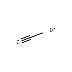 [C-]#CC.[Li+]